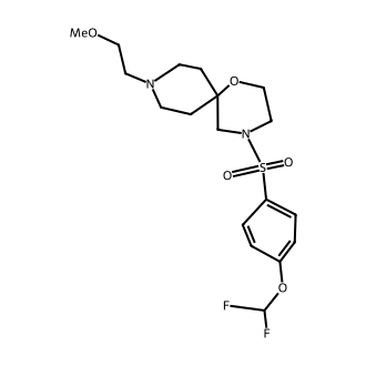 COCCN1CCC2(CC1)CN(S(=O)(=O)c1ccc(OC(F)F)cc1)CCO2